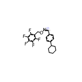 Fc1c(F)c(F)c(CO/N=[C]\c2ccc(C3CCCCC3)cc2)c(F)c1F